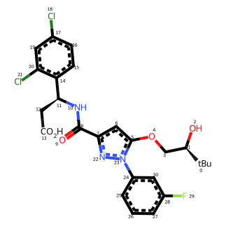 CC(C)(C)[C@H](O)COc1cc(C(=O)N[C@@H](CC(=O)O)c2ccc(Cl)cc2Cl)nn1-c1cccc(F)c1